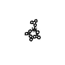 c1ccc(-c2ccc3c(c2)c2ccccc2n3-c2cccc(-c3nc(-c4ccc5c6ccccc6c6ccccc6c5c4)nc(-c4ccc5c6ccccc6n(-c6ccccc6)c5c4)n3)c2)cc1